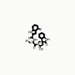 CC(C)C[C@H](NC(=O)c1cc2c(F)cccc2[nH]1)C(=O)N1C[C@]2(C[C@H]1C#N)C(=O)Nc1ccccc12